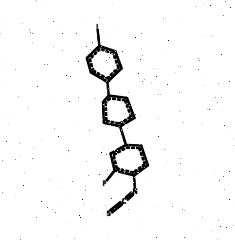 Fc1cc(-c2ccc(-c3ccc(I)cc3)cc2)ccc1N=C=S